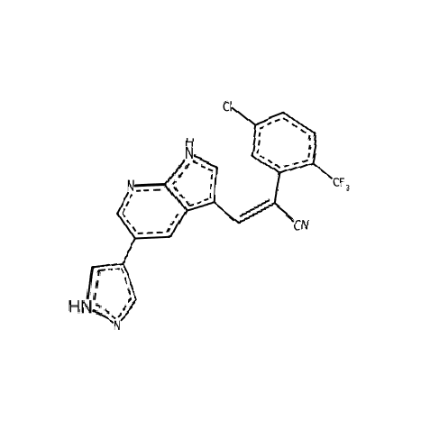 N#C/C(=C/c1c[nH]c2ncc(-c3cn[nH]c3)cc12)c1cc(Cl)ccc1C(F)(F)F